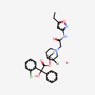 CCc1cc(NC(=O)C[N+]23CCC(CC2)[C@@H](OC(=O)C(O)(c2ccccc2)c2ccccc2Cl)C3)no1.[Br-]